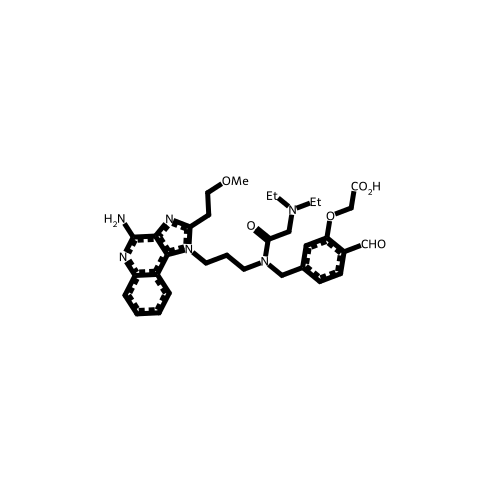 CCN(CC)CC(=O)N(CCCn1c(CCOC)nc2c(N)nc3ccccc3c21)Cc1ccc(C=O)c(OCC(=O)O)c1